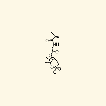 C=C(C)C(=O)NCC(=O)OC1C2CC(C)C1(C)OS(=O)(=O)C2